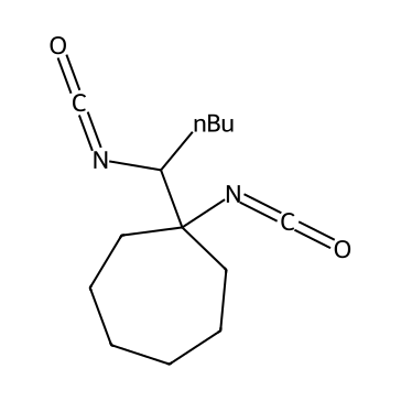 CCCCC(N=C=O)C1(N=C=O)CCCCCC1